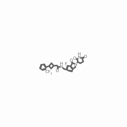 O=C(CC1CC(c2ccccc2C(F)(F)F)C1)NCc1ccc2c(c1F)C(=O)N(C1CCC(=O)NC1=O)C2